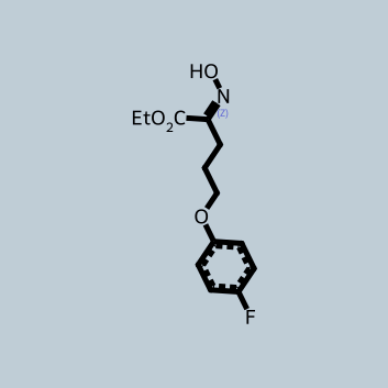 CCOC(=O)/C(CCCOc1ccc(F)cc1)=N\O